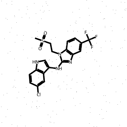 CS(=O)(=O)CCn1c(Nc2c[nH]c3ccc(Cl)cc23)nc2cc(C(F)(F)F)ccc21